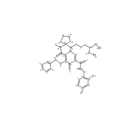 CCOP(CCCN1n2cc(C(=O)NCc3ccc(F)cc3F)c(=O)c(OCc3ccccc3)c2C(=O)N(C)C12CCOC2)OCC